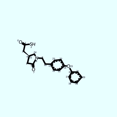 O=C(S)C[C@@H]1CC(=O)N(CCc2ccc(Oc3ccccc3)cc2)C1